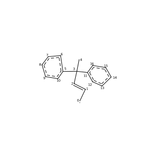 [CH2]/C=C/C(C)(c1ccccc1)c1ccccc1